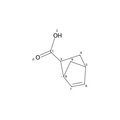 O=C(O)C1CC2C=C[C]1C2